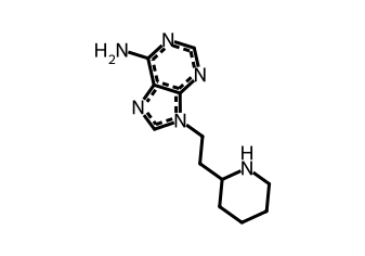 Nc1ncnc2c1ncn2CCC1CCCCN1